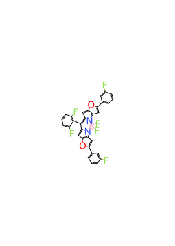 Fc1cccc(-c2cc3c(o2)=CC2=C(c4c(F)cccc4F)c4cc5oc(-c6cccc(F)c6)cc5n4[B-](F)(F)[N+]=32)c1